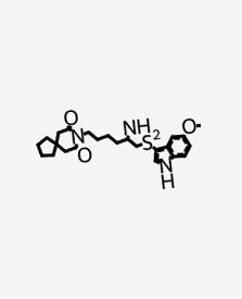 COc1ccc2[nH]cc(SCC(N)CCCCN3C(=O)CC4(CCCC4)CC3=O)c2c1